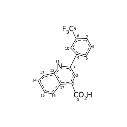 O=C(O)c1cc(-c2cccc(C(F)(F)F)c2)nc2ccccc12